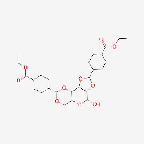 CCOC(=O)C1CCC(C2OCC3OC(O)C4OC(C5CCC(C(=O)OCC)CC5)OC4C3O2)CC1